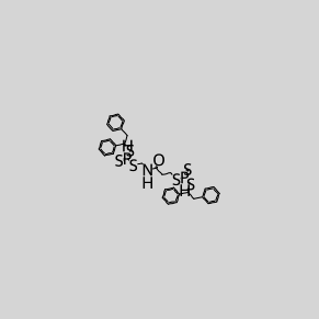 O=C(CCS[PH](=S)SC(Cc1ccccc1)c1ccccc1)NCS[PH](=S)SC(Cc1ccccc1)c1ccccc1